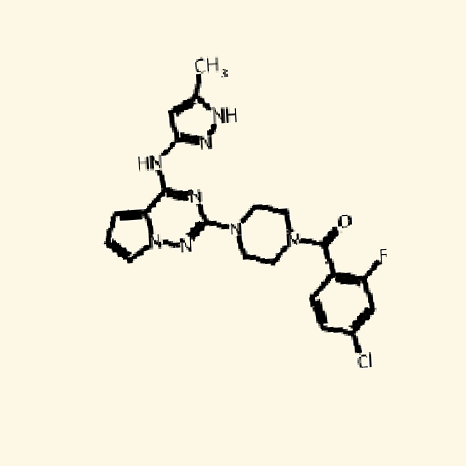 Cc1cc(Nc2nc(N3CCN(C(=O)c4ccc(Cl)cc4F)CC3)nn3cccc23)n[nH]1